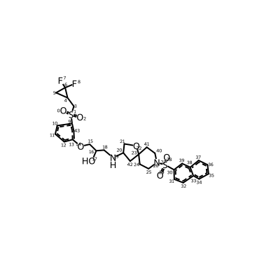 O=S(=O)(CC1CC1(F)F)c1cccc(OCC(O)CNC2COC3(CCN(S(=O)(=O)c4ccc5ccccc5c4)CC3)C2)c1